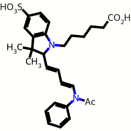 CC(=O)N(/C=C/C=C/C1N(CCCCCC(=O)O)c2ccc(S(=O)(=O)O)cc2C1(C)C)c1ccccc1